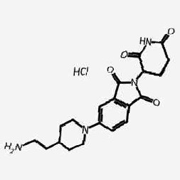 Cl.NCCC1CCN(c2ccc3c(c2)C(=O)N(C2CCC(=O)NC2=O)C3=O)CC1